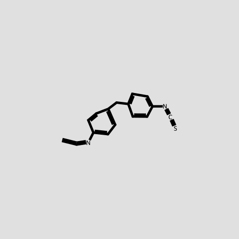 C=C=Nc1ccc(Cc2ccc(N=C=S)cc2)cc1